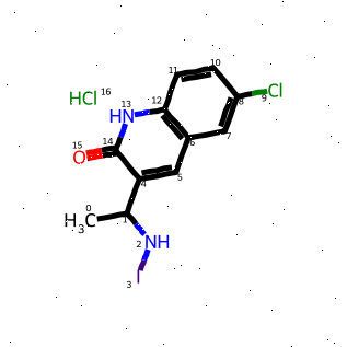 CC(NI)c1cc2cc(Cl)ccc2[nH]c1=O.Cl